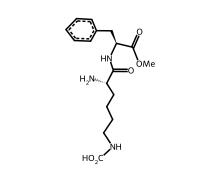 COC(=O)[C@H](Cc1ccccc1)NC(=O)[C@@H](N)CCCCNC(=O)O